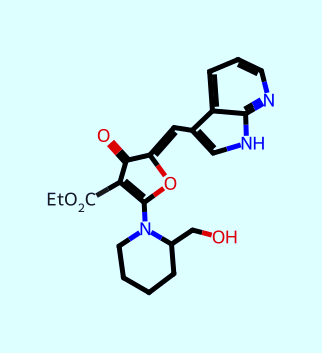 CCOC(=O)C1=C(N2CCCCC2CO)O/C(=C\c2c[nH]c3ncccc23)C1=O